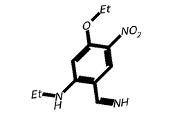 CCNc1cc(OCC)c([N+](=O)[O-])cc1C=N